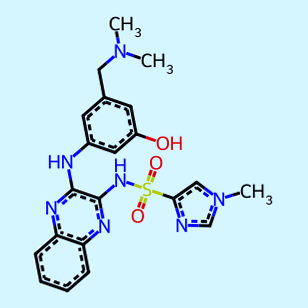 CN(C)Cc1cc(O)cc(Nc2nc3ccccc3nc2NS(=O)(=O)c2cn(C)cn2)c1